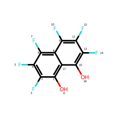 Oc1c(F)c(F)c(F)c2c(F)c(F)c(F)c(O)c12